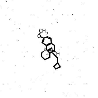 COc1ccc2c(c1)[C@@]13CCCC[C@@]1(O)[C@@H](C2)N(CC1CCC1)CC3